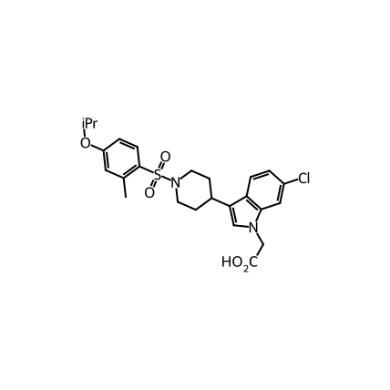 Cc1cc(OC(C)C)ccc1S(=O)(=O)N1CCC(c2cn(CC(=O)O)c3cc(Cl)ccc23)CC1